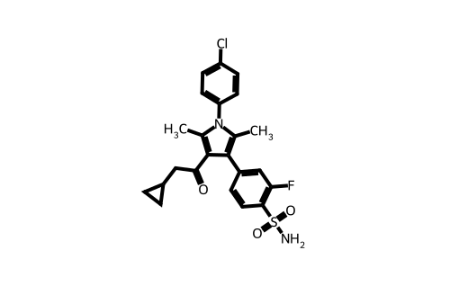 Cc1c(C(=O)CC2CC2)c(-c2ccc(S(N)(=O)=O)c(F)c2)c(C)n1-c1ccc(Cl)cc1